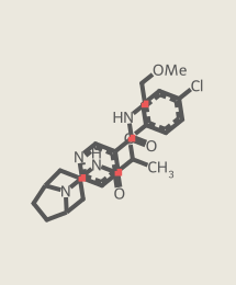 COCCNC(=O)c1ccc(N2C3CCC2CC(NC(=O)C(C)Oc2ccc(Cl)cc2)C3)nc1